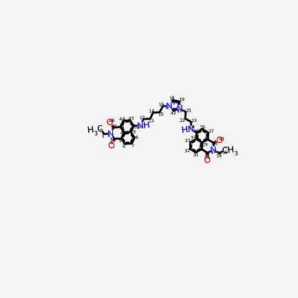 CCN1C(=O)c2cccc3c(NCCCCC[n+]4ccn(CCCNc5ccc6c7c(cccc57)C(=O)N(CC)C6=O)c4)ccc(c23)C1=O